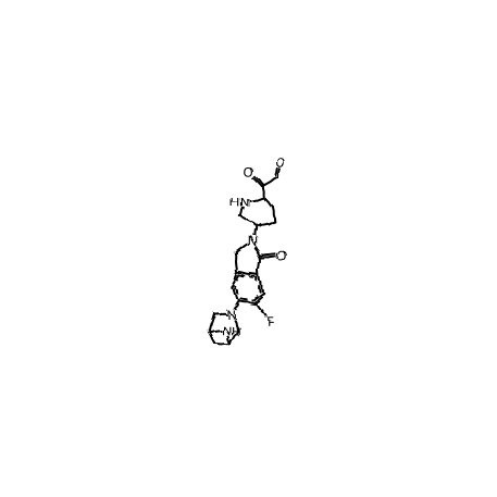 O=CC(=O)C1CCC(N2Cc3cc(N4CC5CC(C4)N5)c(F)cc3C2=O)CN1